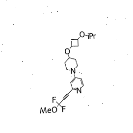 COC(F)(F)C#Cc1cc(N2CCC(OC3CC(OC(C)C)C3)CC2)ccn1